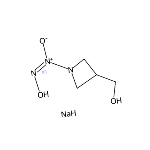 [NaH].[O-]/[N+](=N/O)N1CC(CO)C1